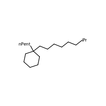 CCCCCC1(CCCCCCC(C)C)CCCCC1